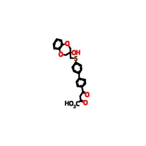 O=C(O)C(=O)CC(=O)c1ccc(-c2ccc(SCC3(O)COc4ccccc4OC3)cc2)cc1